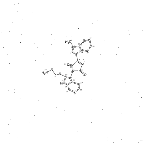 Cn1cc(C2=CC(=O)N(c3c(CCCN)[nH]c4ccccc34)C2=O)c2ccccc21